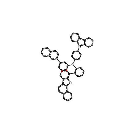 c1cc(-c2ccc3ccccc3c2)cc(N(c2ccc(-n3c4ccccc4c4ccccc43)cc2)c2ccccc2-c2cccc3c2oc2c4ccccc4ccc32)c1